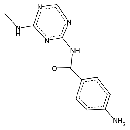 CNc1ncnc(NC(=O)c2ccc(N)cc2)n1